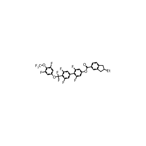 CCC1Cc2ccc(C(=O)Oc3cc(F)c(-c4cc(F)c(C(F)(F)Oc5cc(F)c(OC(F)(F)F)c(F)c5)c(F)c4)c(F)c3)cc2C1